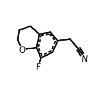 N#CCc1cc(F)c2c(c1)CCCO2